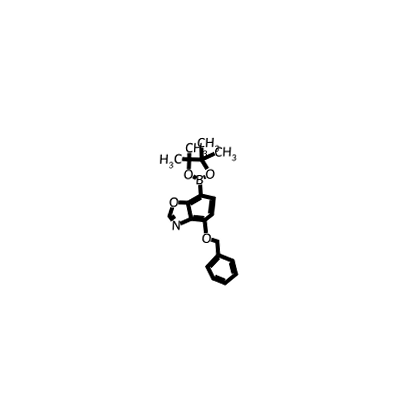 CC1(C)OB(c2ccc(OCc3ccccc3)c3ncoc23)OC1(C)C